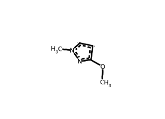 COc1[c][c]n(C)n1